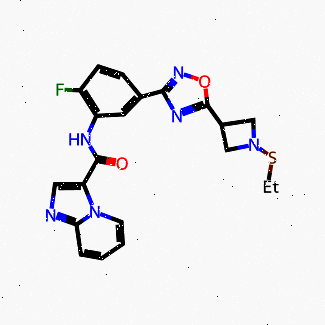 CCSN1CC(c2nc(-c3ccc(F)c(NC(=O)c4cnc5ccccn45)c3)no2)C1